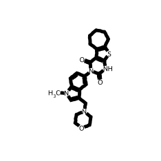 Cn1cc(CN2CCOCC2)c2cc(-n3c(=O)[nH]c4sc5c(c4c3=O)CCCCC5)ccc21